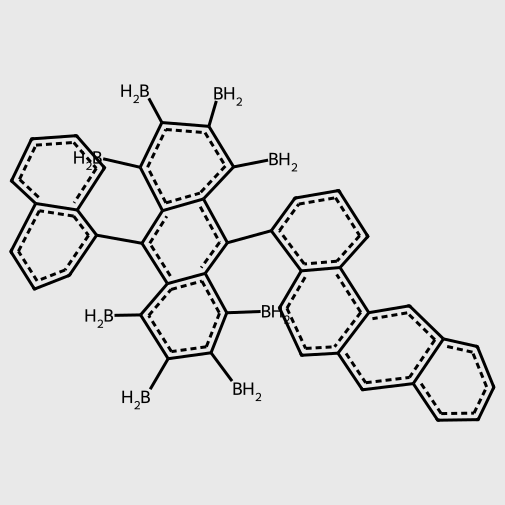 Bc1c(B)c(B)c2c(-c3cccc4c3ccc3cc5ccccc5cc34)c3c(B)c(B)c(B)c(B)c3c(-c3cccc4ccccc34)c2c1B